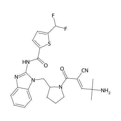 CC(C)(N)C=C(C#N)C(=O)N1CCCC1Cn1c(NC(=O)c2ccc(C(F)F)s2)nc2ccccc21